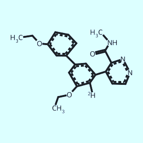 [2H]c1c(OCC)cc(-c2cccc(OCC)c2)cc1-c1ccnnc1C(=O)NC